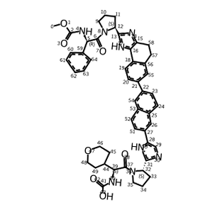 COC(=O)N[C@@H](C(=O)N1CCC[C@H]1c1nc2c([nH]1)-c1ccc(-c3ccc4cc(-c5cnc([C@@H]6CCCN6C(=O)[C@@H](NC(=O)O)C6CCOCC6)[nH]5)ccc4c3)cc1CC2)c1ccccc1